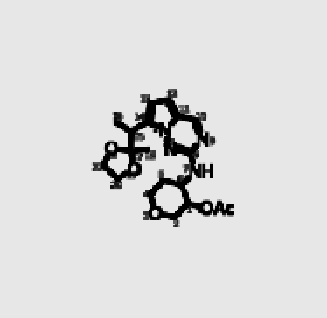 CC(=O)OC1COCCC1Nc1ncc2ccc(C(C)C3(C)OCCO3)n2n1